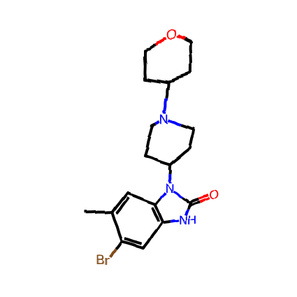 Cc1cc2c(cc1Br)[nH]c(=O)n2C1CCN(C2CCOCC2)CC1